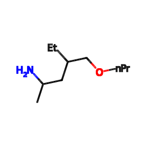 CCCOCC(CC)CC(C)N